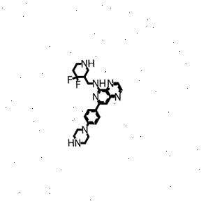 FC1(F)CCNCC1CNc1nc(-c2ccc(N3CCNCC3)cc2)cc2nccnc12